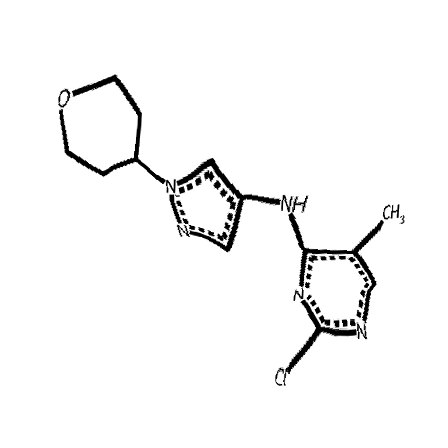 Cc1cnc(Cl)nc1Nc1cnn(C2CCOCC2)c1